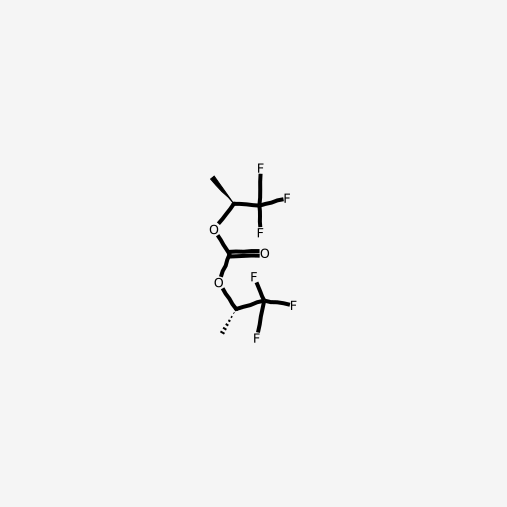 C[C@H](OC(=O)O[C@@H](C)C(F)(F)F)C(F)(F)F